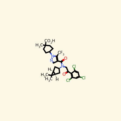 CC1(C(=O)O)CCC(n2ncc(C(=O)N(CC(=O)c3c(Cl)cc(Cl)cc3Cl)[C@H]3C[C@@H]4[C@H](C3)C4(C)C)c2C(F)(F)F)CC1